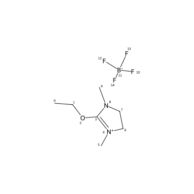 CCOC1=[N+](C)CCN1C.F[B-](F)(F)F